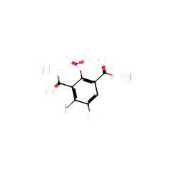 O=C(O)c1cc(Cl)c(Cl)c(C(=O)O)c1I(=O)=O